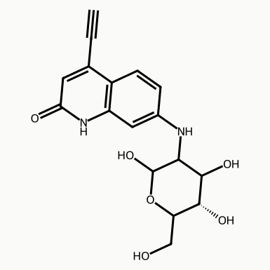 C#Cc1cc(=O)[nH]c2cc(NC3C(O)OC(CO)[C@@H](O)C3O)ccc12